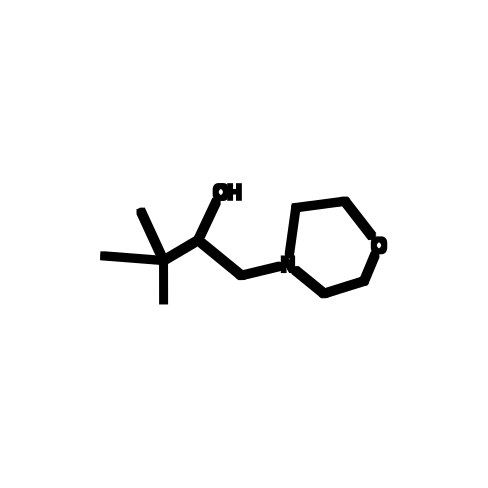 CC(C)(C)C(O)CN1CCOCC1